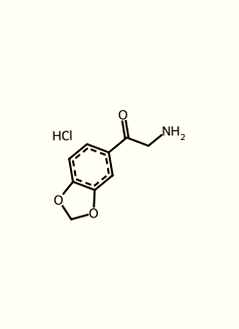 Cl.NCC(=O)c1ccc2c(c1)OCO2